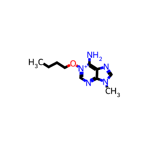 CCCCO[n+]1cnc2c(ncn2C)c1N